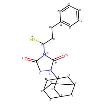 O=C1CN(C23CC4CC(CC(C4)C2)C3)C(=O)N1C(S)CCc1ccccc1